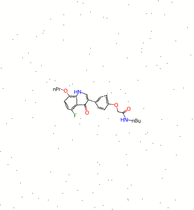 CCCCNC(=O)COc1ccc(-c2c[nH]c3c(OCCC)ccc(F)c3c2=O)cc1